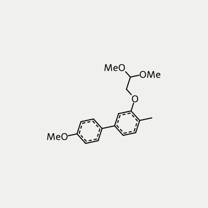 COc1ccc(-c2ccc(C)c(OCC(OC)OC)c2)cc1